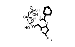 BC1CC(OC(N)c2ccccc2)C(COP(=O)(O)OP(=O)(O)OP(=O)(O)O)O1